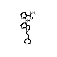 NC(=O)c1cccnc1Nc1ccnc2c1ccn2CCN1CCOCC1